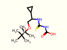 CC(C)(C)[Si](C)(C)OCC(NC(=S)NC(=O)O)C1CC1